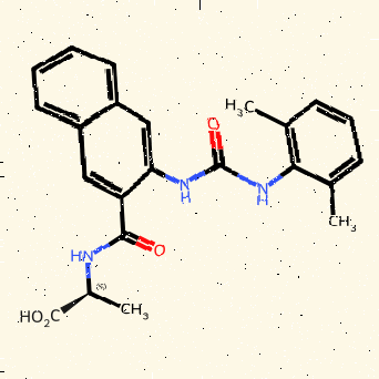 Cc1cccc(C)c1NC(=O)Nc1cc2ccccc2cc1C(=O)N[C@@H](C)C(=O)O